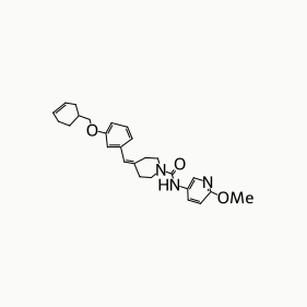 COc1ccc(NC(=O)N2CCC(=Cc3cccc(OCC4CC=CCC4)c3)CC2)cn1